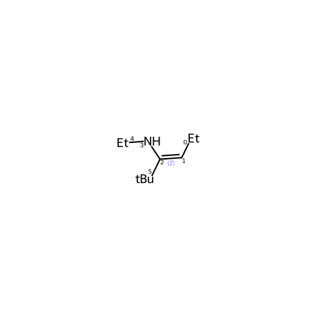 CC/C=C(\NCC)C(C)(C)C